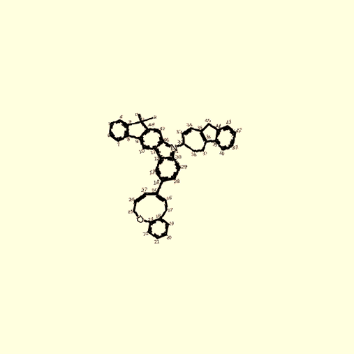 CC1(C)c2ccccc2-c2cc3c4cc(C5=C/Cc6ccccc6OC/C=C\5)ccc4n(C4C=CC5=C(CC4)c4ccccc4C5)c3cc21